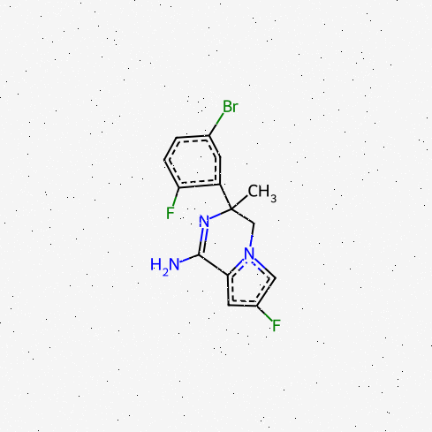 CC1(c2cc(Br)ccc2F)Cn2cc(F)cc2C(N)=N1